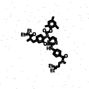 CCN(CC)CCN(C)C(=O)c1ccc(Nc2nccc(N(C(=O)Oc3c(C)cc(C)cc3C)c3ccc(CC(C)C(=O)N(CC)CC)cc3OC)n2)cc1